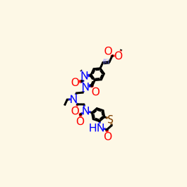 CCN(CCn1c(=O)c2ccc(/C=C/C(=O)OC)cc2n(C)c1=O)C1CN(c2ccc3c(c2)NC(=O)CS3)C(=O)O1